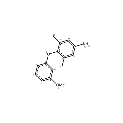 COc1cccc(Oc2c(C)cc(N)cc2C)c1